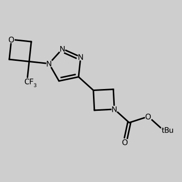 CC(C)(C)OC(=O)N1CC(c2cn(C3(C(F)(F)F)COC3)nn2)C1